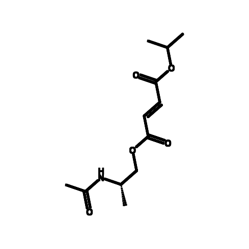 CC(=O)N[C@@H](C)COC(=O)/C=C/C(=O)OC(C)C